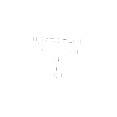 C=C=C.CN(C)C